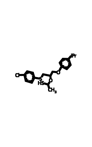 CC(S)OC(COc1ccc(C(C)C)cc1)CSc1ccc(Cl)cc1